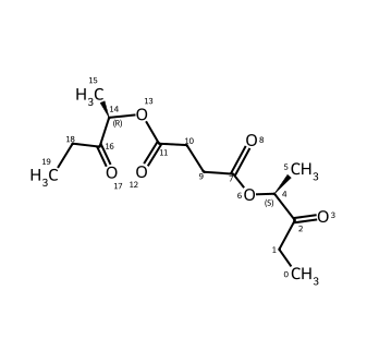 CCC(=O)[C@H](C)OC(=O)CCC(=O)O[C@H](C)C(=O)CC